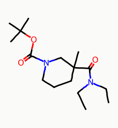 CCN(CC)C(=O)C1(C)CCCN(C(=O)OC(C)(C)C)C1